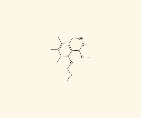 COCOc1c(C)c(C)c(C)c(CO)c1C(OC)OC